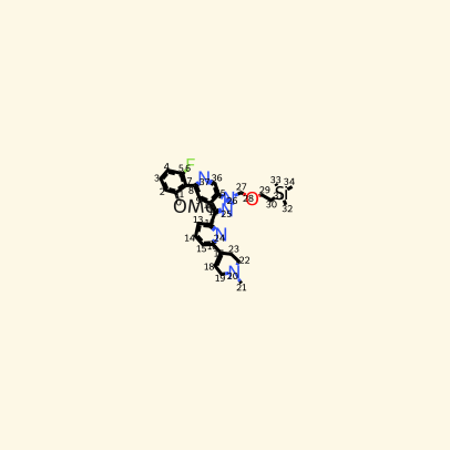 COc1cccc(F)c1-c1cc2c(-c3cccc(C4=CCN(C)CC4)n3)nn(COCC[Si](C)(C)C)c2cn1